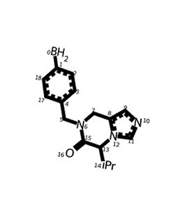 Bc1ccc(CN2Cc3cncn3C(C(C)C)C2=O)cc1